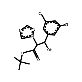 CC(C)(C)OC(=O)C(C(O)c1cc(Cl)cc(Cl)c1)n1cncn1